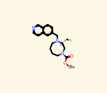 CC(C)(C)OC(=O)N1CCCCN(Cc2ccc3cnccc3c2)[C@H](CF)C1